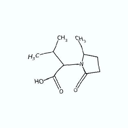 CC(C)C(C(=O)O)N1C(=O)CCC1C